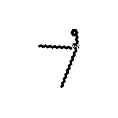 CCCCCCCCCCCCCCCCCCc1nc(CCCc2ccccc2)cn1CCCCCCCCCCCCCCC